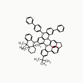 CC(C)(C)c1ccc(N2c3cc4c(cc3B3c5cc(-c6ccccc6)ccc5N(c5ccc(-c6ccccc6)cc5)c5cc(N6c7ccccc7C(C)(C)C7(C)CCCCC67C)cc2c53)CCC4)c(-c2ccccc2)c1